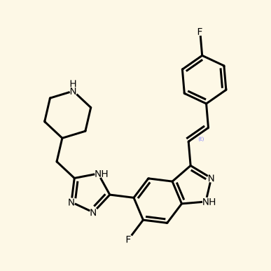 Fc1ccc(/C=C/c2n[nH]c3cc(F)c(-c4nnc(CC5CCNCC5)[nH]4)cc23)cc1